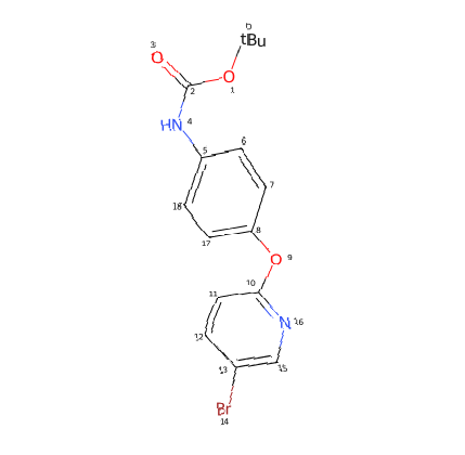 CC(C)(C)OC(=O)Nc1ccc(Oc2ccc(Br)cn2)cc1